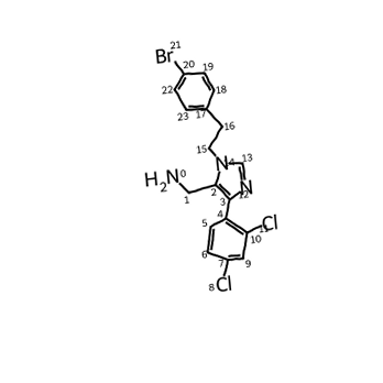 NCc1c(-c2ccc(Cl)cc2Cl)ncn1CCc1ccc(Br)cc1